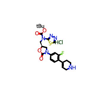 CC(C)(C)OC(=O)N(C[C@H]1CN(c2ccc(C3=CCNCC3)c(F)c2)C(=O)O1)c1nncs1.Cl